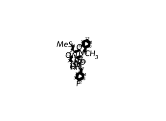 CSCC[C@H]1C(=O)N([C@H](C)c2ccccc2)C[C@H]2N1C(=O)CN(C)N2C(=O)NCc1ccc(F)cc1